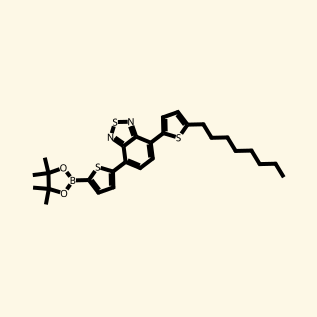 CCCCCCCCc1ccc(-c2ccc(-c3ccc(B4OC(C)(C)C(C)(C)O4)s3)c3nsnc23)s1